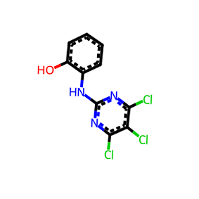 Oc1ccccc1Nc1nc(Cl)c(Cl)c(Cl)n1